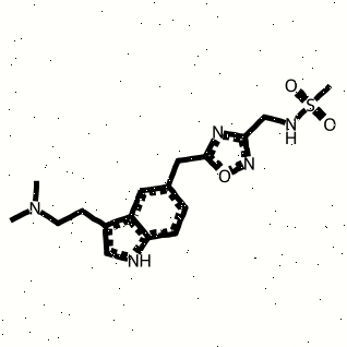 CN(C)CCc1c[nH]c2ccc(Cc3nc(CNS(C)(=O)=O)no3)cc12